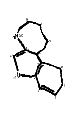 C1=CC2=C(CC1)C1CCCNC1=CO2